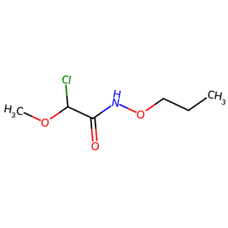 CCCONC(=O)C(Cl)OC